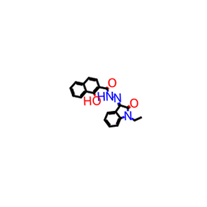 CCN1C(=O)/C(=N/NC(=O)c2ccc3ccccc3c2O)c2ccccc21